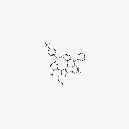 C=C/C=C\c1sc2c3c1-c1cc(ccc1C(C)(C)C)N(c1ccc(C(C)(C)C)cc1)c1ccc4c(c1)B3c1c-2cc(C)cc1N4c1ccccc1